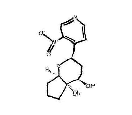 O=[N+]([O-])c1cnccc1[C@H]1C[C@@H](O)[C@@]2(O)CCC[C@H]2O1